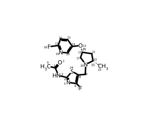 CC(=O)Nc1nc(F)c(CN2C[C@H](Oc3ccc(F)nc3)C[C@@H]2C)s1